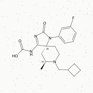 C[C@H]1C[C@]2(CCN1CC1CCC1)C(NC(=O)O)=NC(=O)N2c1cccc(F)c1